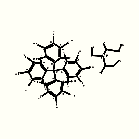 CCC(C)[NH+](CC)C(C)CC.Fc1c(F)c(F)c([B-](c2c(F)c(F)c(F)c(F)c2F)(c2c(F)c(F)c(F)c(F)c2F)c2c(F)c(F)c(F)c(F)c2F)c(F)c1F